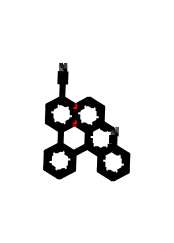 N#Cc1ccc(-c2ccccc2-c2c3ccccc3nc3ccccc23)cc1